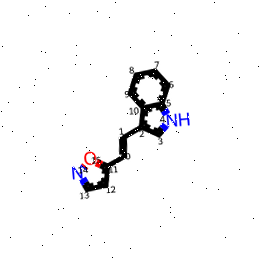 C(=Cc1c[nH]c2ccccc12)c1ccno1